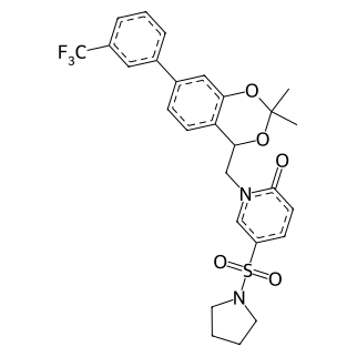 CC1(C)Oc2cc(-c3cccc(C(F)(F)F)c3)ccc2C(Cn2cc(S(=O)(=O)N3CCCC3)ccc2=O)O1